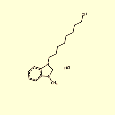 CN1CN(CCCCCCCCO)c2ccccc21.Cl